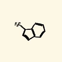 FC(F)(F)C1C=Cc2ccc[c]c21